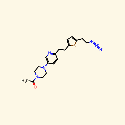 CC(=O)N1CCN(c2ccc(CCc3ccc(CCN=[N+]=[N-])s3)nc2)CC1